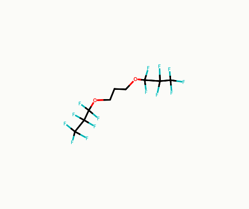 FC(F)(F)C(F)(F)C(F)(F)OCCCOC(F)(F)C(F)(F)C(F)(F)F